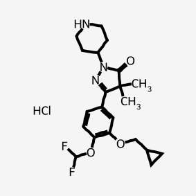 CC1(C)C(=O)N(C2CCNCC2)N=C1c1ccc(OC(F)F)c(OCC2CC2)c1.Cl